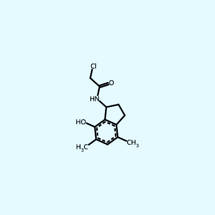 Cc1cc(C)c2c(c1O)C(NC(=O)CCl)CC2